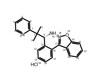 CC(C)(c1ccccn1)[C@H](N)c1ccccc1-c1noc2ccccc12.Cl